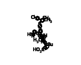 Cc1nc(OC[C@]2(C(C)(C)C)CN(C(=O)O)CCO2)sc1S(=O)(=O)NC(=O)c1ccc(N2CCN(CC3=C(c4ccc(Cl)cc4)CC(C)(C)CC3)CC2)cc1Oc1cccc2[nH]ncc12